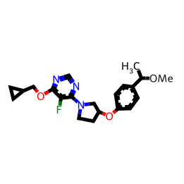 COC(C)c1ccc(OC2CCN(c3ncnc(OCC4CC4)c3F)C2)cc1